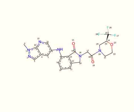 Cn1ncc2cc(Nc3cccc4c3C(=O)N(CC(=O)N3CCO[C@H](C(F)(F)F)C3)C4)cnc21